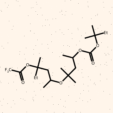 CCC(C)(C)OC(=O)OC(C)CC(C)(C)OC(C)CC(C)(CC)OC(=O)C(F)(F)F